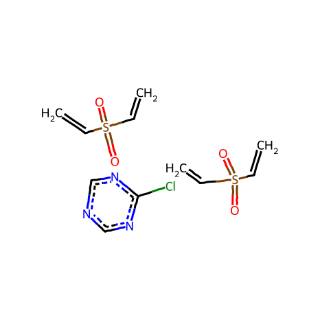 C=CS(=O)(=O)C=C.C=CS(=O)(=O)C=C.Clc1ncncn1